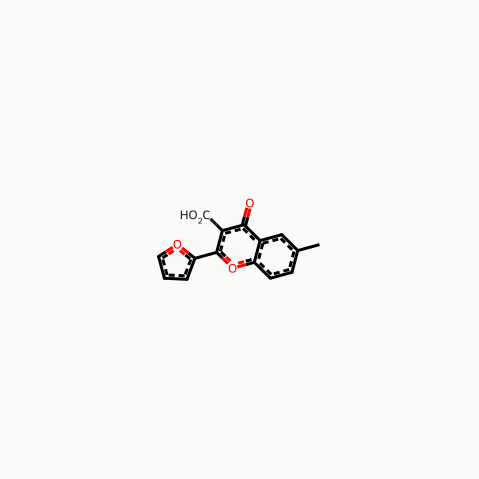 Cc1ccc2oc(-c3ccco3)c(C(=O)O)c(=O)c2c1